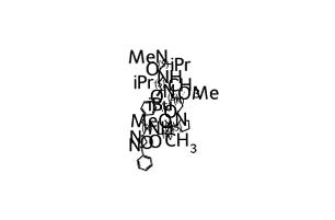 CC[C@H](C)[C@@H]([C@@H](CC(=O)N1CCC[C@H]1[C@H](OC)[C@@H](C)C(=O)N[C@H](Cc1ccccc1)c1nnc(-c2ccccc2)o1)OC)N(C)C(=O)[C@@H](NC(=O)[C@@H](NC)C(C)C)C(C)C